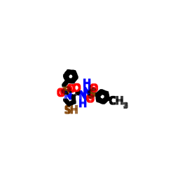 Cc1ccc(S(=O)(=O)NNC(=O)[C@@H]2C[C@@H](S)CN2S(=O)(=O)Cc2ccccc2)cc1